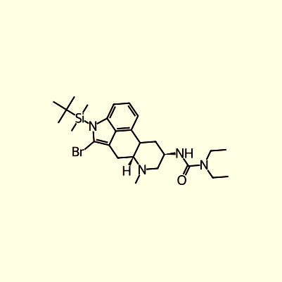 CCN(CC)C(=O)N[C@@H]1CC2c3cccc4c3c(c(Br)n4[Si](C)(C)C(C)(C)C)C[C@H]2N(C)C1